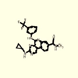 CNC(=O)c1ccc2c(c1)nc(Nc1cccc(C(F)(F)F)c1)c1nc(NC3CC3)ncc12